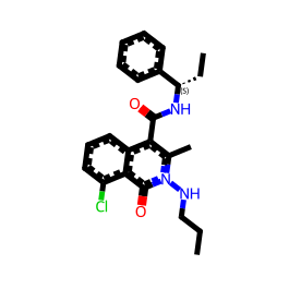 CCCNn1c(C)c(C(=O)N[C@@H](CC)c2ccccc2)c2cccc(Cl)c2c1=O